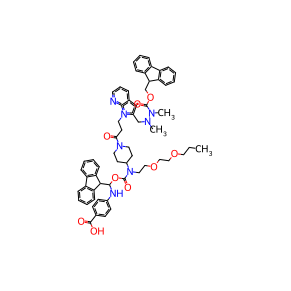 CCCOCCOCCN(C(=O)OC(Nc1ccc(C(=O)O)cc1)C1c2ccccc2-c2ccccc21)C1CCN(C(=O)CCn2c(CN(C)N(C)C(=O)OCC3c4ccccc4-c4ccccc43)cc3cccnc32)CC1